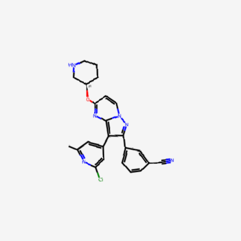 Cc1cc(-c2c(-c3cccc(C#N)c3)nn3ccc(O[C@@H]4CCCNC4)nc23)cc(Cl)n1